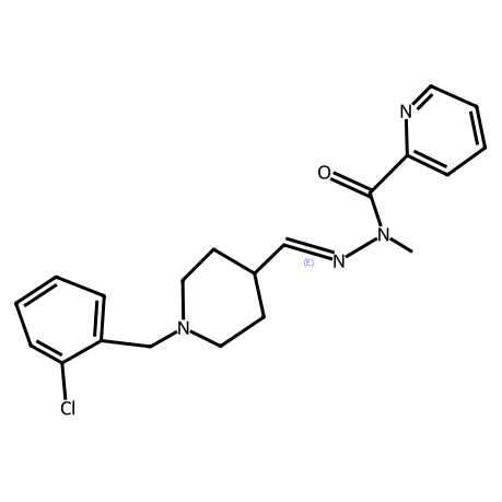 CN(/N=C/C1CCN(Cc2ccccc2Cl)CC1)C(=O)c1ccccn1